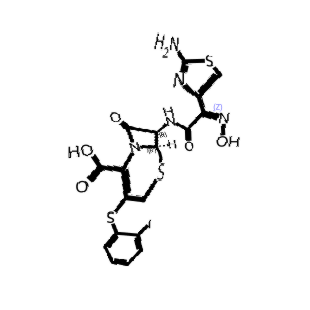 Nc1nc(/C(=N/O)C(=O)N[C@@H]2C(=O)N3C(C(=O)O)=C(Sc4ccccc4I)CS[C@H]23)cs1